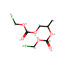 CC(COC(=O)OCF)OC(=O)OCF